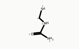 NC(=O)NCS